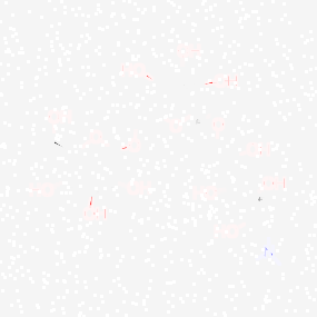 CN(C)CC(O)[C@@H](O)[C@H](O)C(O)CO[C@@H]1OC(CO[C@@H]2O[C@H](CO)[C@@H](O)[C@H](O)[C@H]2O)[C@@H](O)[C@H](O)[C@H]1O